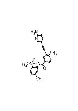 Cc1ccc(C(=O)Nc2cc(C(F)(F)F)ccc2N(C)C)cc1C#Cc1cnc(N)nc1